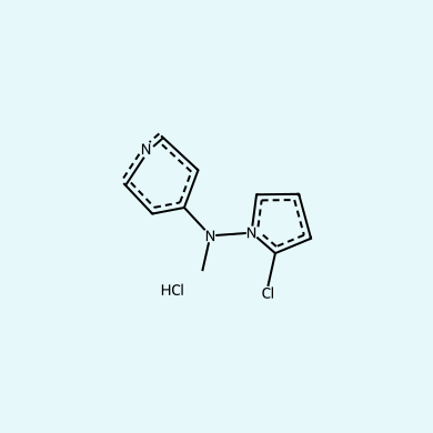 CN(c1ccncc1)n1cccc1Cl.Cl